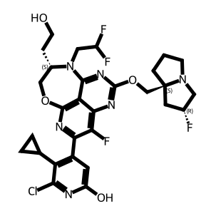 OCC[C@H]1COc2nc(-c3cc(O)nc(Cl)c3C3CC3)c(F)c3nc(OC[C@@]45CCCN4C[C@H](F)C5)nc(c23)N1CC(F)F